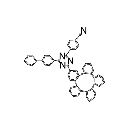 N#Cc1ccc(-c2nc(-c3ccc(-c4ccccc4)cc3)nc(-c3ccc4c5ccccc5c5ccccc5c5ccccc5c5ccccc5c4c3)n2)cc1